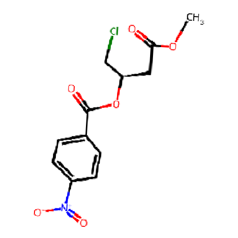 COC(=O)C[C@H](CCl)OC(=O)c1ccc([N+](=O)[O-])cc1